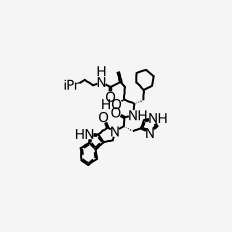 C=C(C[C@H](O)[C@H](CC1CCCCC1)NC(=O)[C@H](Cc1c[nH]cn1)N1Cc2c([nH]c3ccccc23)C1=O)C(=O)NCCC(C)C